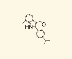 Cc1cccc2c(C=O)c(-c3ccc(C(C)C)cc3)[nH]c12